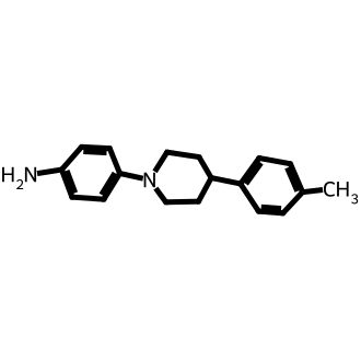 Cc1ccc(C2CCN(c3ccc(N)cc3)CC2)cc1